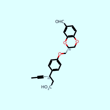 CC#C[C@@H](CC(=O)O)c1ccc(OC[C@H]2COc3ccc(C=O)cc3O2)cc1